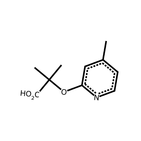 Cc1ccnc(OC(C)(C)C(=O)O)c1